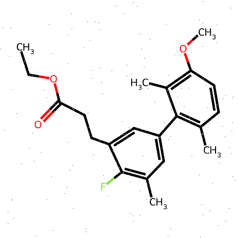 CCOC(=O)CCc1cc(-c2c(C)ccc(OC)c2C)cc(C)c1F